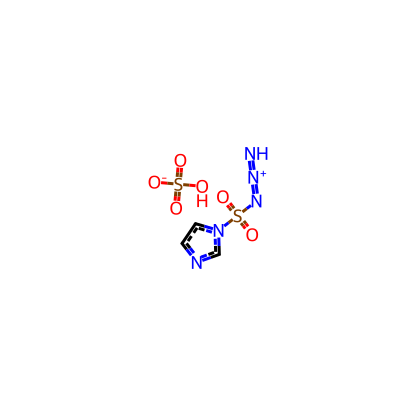 N=[N+]=NS(=O)(=O)n1ccnc1.O=S(=O)([O-])O